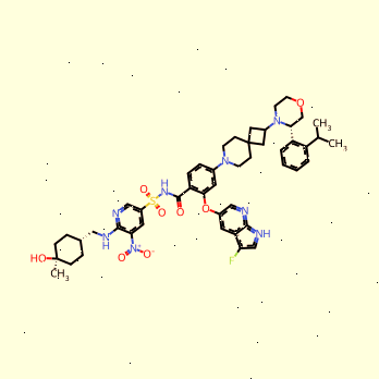 CC(C)c1ccccc1[C@H]1COCCN1C1CC2(CCN(c3ccc(C(=O)NS(=O)(=O)c4cnc(NC[C@H]5CC[C@](C)(O)CC5)c([N+](=O)[O-])c4)c(Oc4cnc5[nH]cc(F)c5c4)c3)CC2)C1